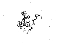 CCCC[P+](CC)(CC)CCCC.O=S([O-])[O-].[H+]